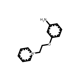 Nc1cccc(OCC[n+]2ccccc2)c1